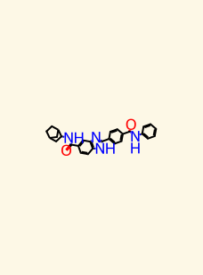 O=C(Nc1ccccc1)c1ccc(-c2nc3cc(C(=O)NC4CC5CCC4C5)ccc3[nH]2)cc1